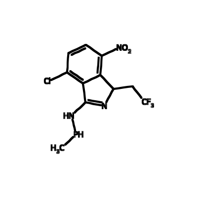 CPNC1=NC(CC(F)(F)F)c2c([N+](=O)[O-])ccc(Cl)c21